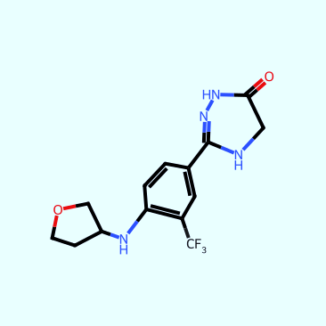 O=C1CNC(c2ccc(NC3CCOC3)c(C(F)(F)F)c2)=NN1